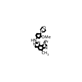 COc1cc(Nc2ncc3cc(C)c4ncn(C(C)C)c4c3n2)ccc1N1CCOCC1